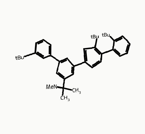 CNC(C)(C)c1cc(-c2cccc(C(C)(C)C)c2)cc(-c2ccc(-c3ccccc3C(C)(C)C)c(C(C)(C)C)c2)c1